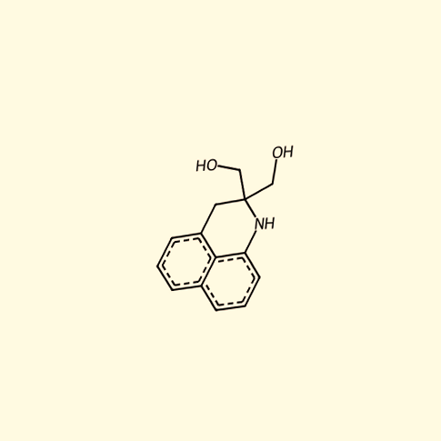 OCC1(CO)Cc2cccc3cccc(c23)N1